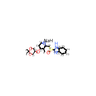 Cc1c(OC2COC(C)(C)OC2)ccnc1C[S+]([O-])c1nc2ccccc2[nH]1.[NaH]